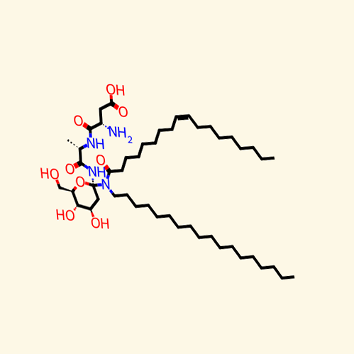 CCCCCCCC/C=C\CCCCCCCC(=O)N(CCCCCCCCCCCCCCCCCC)[C@@]1(NC(=O)[C@H](C)NC(=O)[C@@H](N)CC(=O)O)C[C@@H](O)[C@H](O)[C@@H](CO)O1